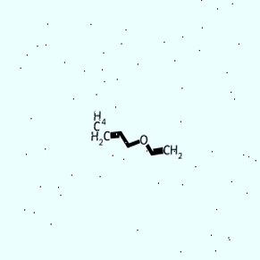 C.C=CCOC=C